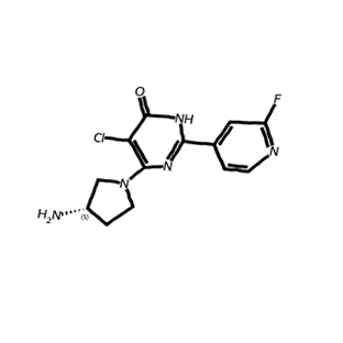 N[C@H]1CCN(c2nc(-c3ccnc(F)c3)[nH]c(=O)c2Cl)C1